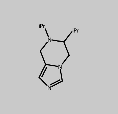 CC(C)C1Cn2cncc2CN1C(C)C